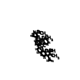 COc1cc(-c2ccc([C@@H]3CCc4ccc([C@H](C5CC5)[C@H](C)C(=O)O)cc4O3)cc2CN2C(C)(C)CCCC2(C)C)ccn1